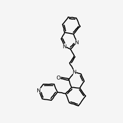 O=c1c2c(-c3ccncc3)cccc2ccn1C=Cc1ncc2ccccc2n1